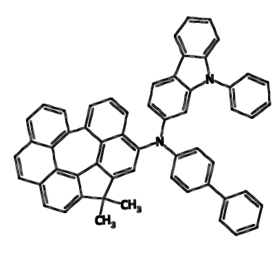 CC1(C)c2cc(N(c3ccc(-c4ccccc4)cc3)c3ccc4c5ccccc5n(-c5ccccc5)c4c3)c3cccc4c3c2-c2c1ccc1ccc3cccc-4c3c21